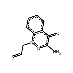 C=CCn1nc(N)c(=O)c2ccccc21